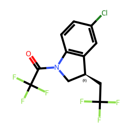 O=C(N1C[C@H](CC(F)(F)F)c2cc(Cl)ccc21)C(F)(F)F